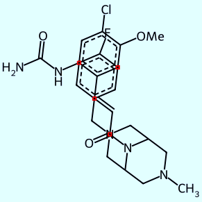 COc1cc(C=CC(=O)N2C3CN(C)CC2CN(Cc2ccc(F)cc2)C3)c(NC(N)=O)cc1Cl